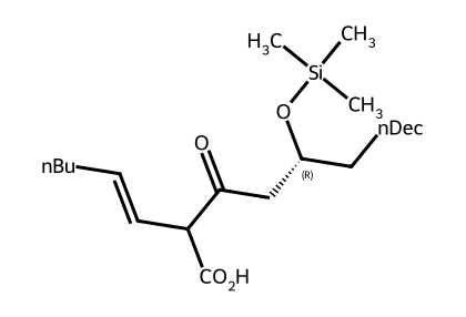 CCCCC=CC(C(=O)O)C(=O)C[C@@H](CCCCCCCCCCC)O[Si](C)(C)C